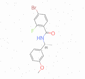 COc1cccc([C@@H](C)NC(=O)c2ccc(Br)cc2F)c1